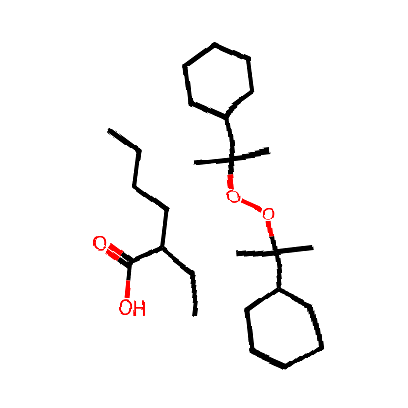 CC(C)(OOC(C)(C)C1CCCCC1)C1CCCCC1.CCCCC(CC)C(=O)O